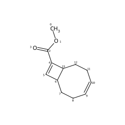 COC(=O)C1=CC2CC/C=C\CCC12